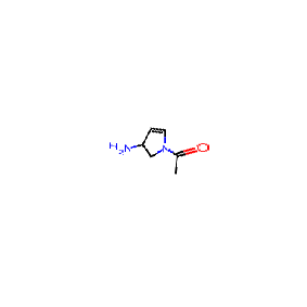 CC(=O)N1C=CC(N)C1